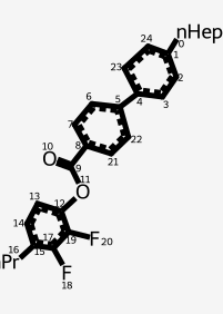 CCCCCCCc1ccc(-c2ccc(C(=O)Oc3ccc(CCC)c(F)c3F)cc2)cc1